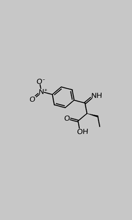 CC[C@H](C(=N)c1ccc([N+](=O)[O-])cc1)C(=O)O